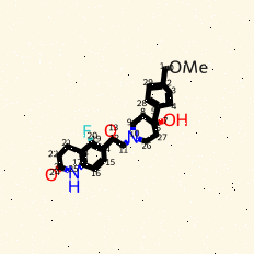 COCc1ccc(C2(O)CCN(CC(=O)c3ccc4c(c3F)CCC(=O)N4)CC2)cc1